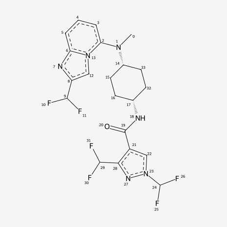 CN(c1cccc2nc(C(F)F)cn12)[C@H]1CC[C@@H](NC(=O)c2cn(C(F)F)nc2C(F)F)CC1